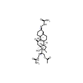 CC(=O)OC/C(=N\NC(N)=O)[C@@]1(O)[C@H](C)C[C@H]2[C@@H]3CCC4=C/C(=N\NC(N)=O)CC[C@]4(C)[C@H]3C(=O)C[C@@]21C